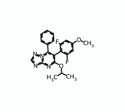 COc1cc(F)c(-c2c(OC(C)C)nc3ncnn3c2-c2ccccc2)c(F)c1